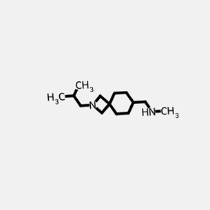 CNCC1CCC2(CC1)CN(CC(C)C)C2